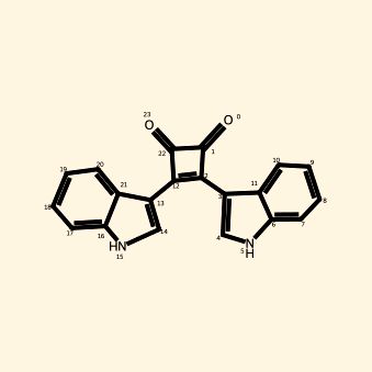 O=c1c(-c2c[nH]c3ccccc23)c(-c2c[nH]c3ccccc23)c1=O